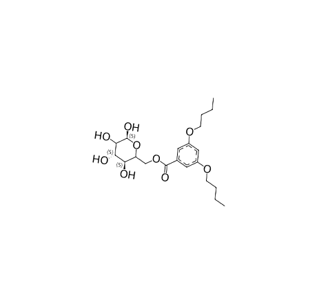 CCCCOc1cc(OCCCC)cc(C(=O)OCC2O[C@H](O)C(O)[C@@H](O)[C@@H]2O)c1